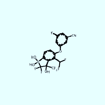 N#Cc1cc(F)cc(Oc2ccc3c(c2C(F)F)C(O)(C(F)(F)F)C(F)(F)S3(O)O)c1